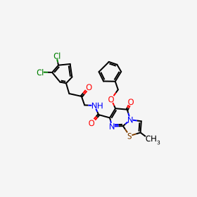 Cc1cn2c(=O)c(OCc3ccccc3)c(C(=O)NCC(=O)Cc3ccc(Cl)c(Cl)c3)nc2s1